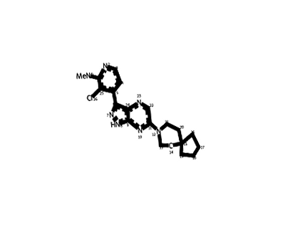 CNc1nccc(-c2n[nH]c3nc(N4CCC5(CCCC5)CC4)cnc23)c1Cl